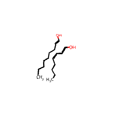 CCCC/C=C\C=C\O.CCCCCCC/C=C/O